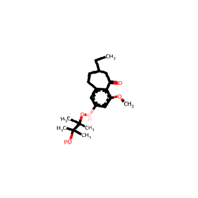 CCC1CCc2cc(BOC(C)(C)C(C)(C)O)cc(OC)c2C(=O)C1